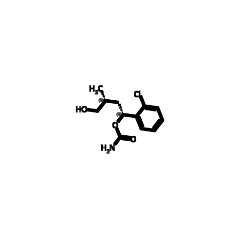 C[C@@H](CO)C[C@@H](OC(N)=O)c1ccccc1Cl